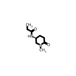 CCC(=O)N[C@H]1CCC(=O)N(C)C1